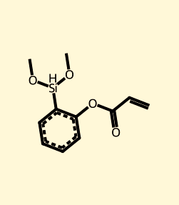 C=CC(=O)Oc1ccccc1[SiH](OC)OC